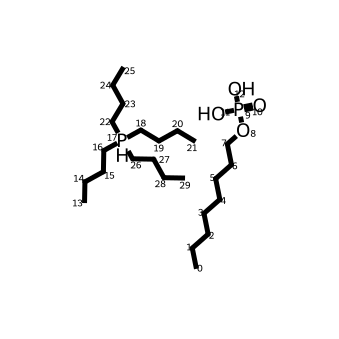 CCCCCCCCOP(=O)(O)O.CCCC[PH](CCCC)(CCCC)CCCC